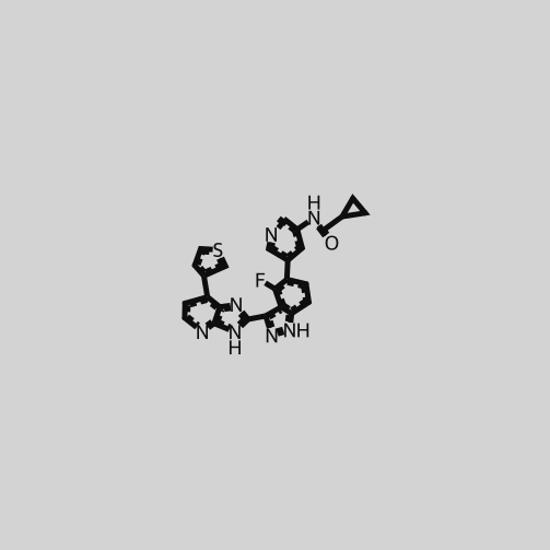 O=C(Nc1cncc(-c2ccc3[nH]nc(-c4nc5c(-c6ccsc6)ccnc5[nH]4)c3c2F)c1)C1CC1